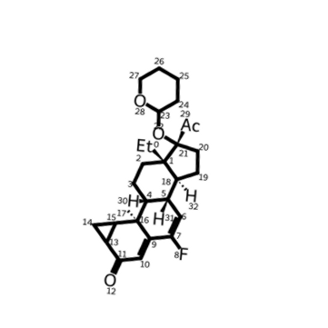 CC[C@]12CC[C@@H]3[C@@H](C=C(F)C4=CC(=O)C5CC5[C@]43C)[C@@H]1CC[C@]2(OC1CCCCO1)C(C)=O